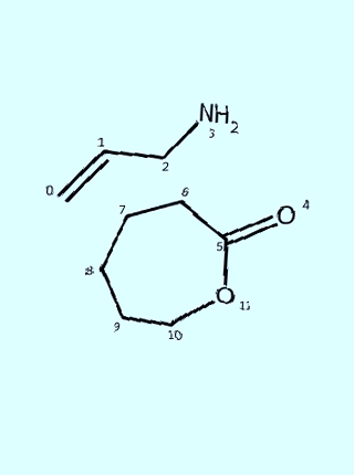 C=CCN.O=C1CCCCCO1